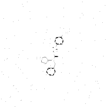 Cc1ccc(S(=O)(=O)OC(=O)N(Cc2ccccc2)C2CCNC2)cc1